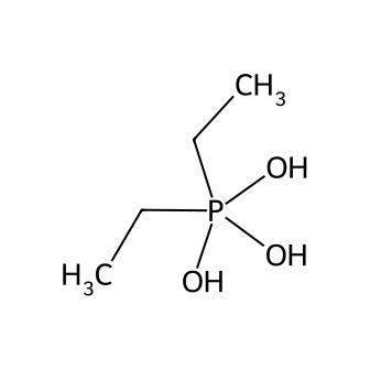 CCP(O)(O)(O)CC